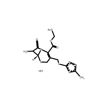 CC(=O)OCOC(=O)C1=C(CSc2nnc(C)s2)CS[C@@H]2C(N)C(=O)N12.Cl